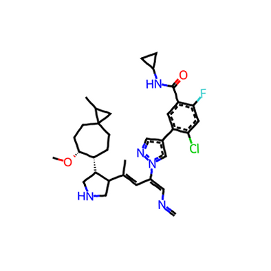 C=N/C=C(\C=C(/C)C1CNCC1[C@H]1CCC2(CC[C@H]1OC)CC2C)n1cc(-c2cc(C(=O)NC3CC3)c(F)cc2Cl)cn1